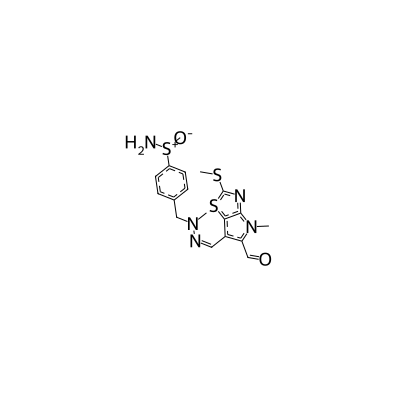 CSc1nc2c(s1)c(/C=N\N(C)Cc1ccc([S+](N)[O-])cc1)c(C=O)n2C